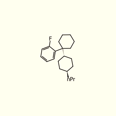 CCC[C@H]1CC[C@H](C2(c3ccccc3F)CCCCC2)CC1